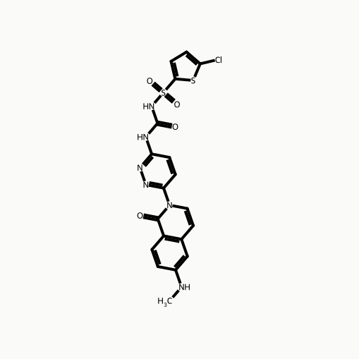 CNc1ccc2c(=O)n(-c3ccc(NC(=O)NS(=O)(=O)c4ccc(Cl)s4)nn3)ccc2c1